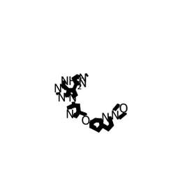 Cn1ccc(-c2cn(-c3cncc(COc4ccc5ccc(N6CCOCC6)nc5c4)c3)c3ncnc(N)c23)n1